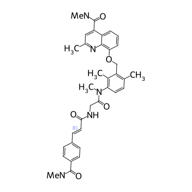 CNC(=O)c1ccc(/C=C/C(=O)NCC(=O)N(C)c2ccc(C)c(COc3cccc4c(C(=O)NC)cc(C)nc34)c2C)cc1